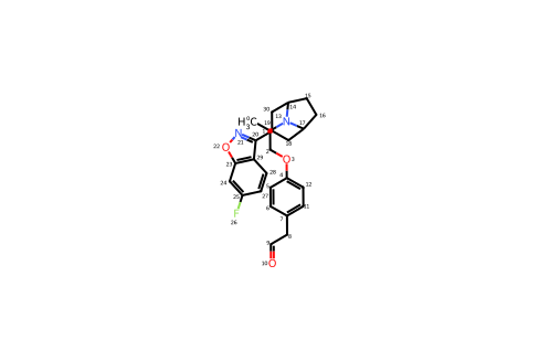 CC(COc1ccc(CC=O)cc1)N1C2CCC1CC(c1noc3cc(F)ccc13)C2